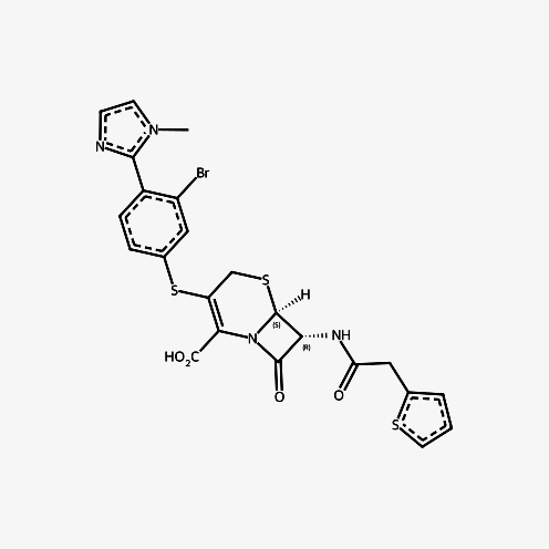 Cn1ccnc1-c1ccc(SC2=C(C(=O)O)N3C(=O)[C@@H](NC(=O)Cc4cccs4)[C@@H]3SC2)cc1Br